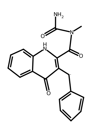 CN(C(N)=O)C(=O)c1[nH]c2ccccc2c(=O)c1[CH]c1ccccc1